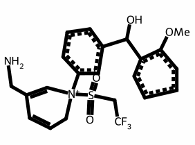 COc1ccccc1C(O)c1cccc([N+]2(S(=O)(=O)CC(F)(F)F)C=C(CN)C=CC2)c1